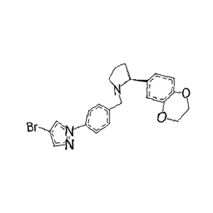 Brc1cnn(-c2ccc(CN3CCC[C@H]3c3ccc4c(c3)OCCO4)cc2)c1